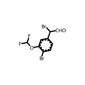 O=CC(Br)c1ccc(Br)c(OC(F)F)c1